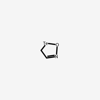 C1=NO[Te]C1